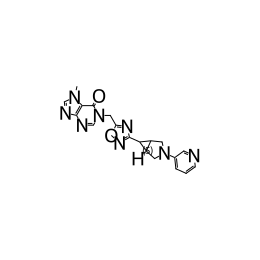 Cn1cnc2ncn(Cc3nc(C4C5CN(c6cccnc6)C[C@@H]54)no3)c(=O)c21